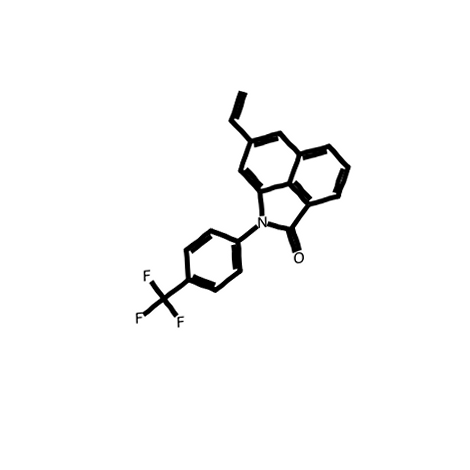 C=Cc1cc2c3c(cccc3c1)C(=O)N2c1ccc(C(F)(F)F)cc1